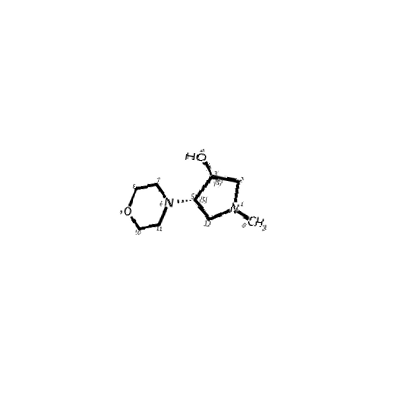 CN1C[C@H](O)[C@@H](N2CCOCC2)C1